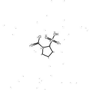 O=C(Cl)N1CCCC1S(=O)(=O)O